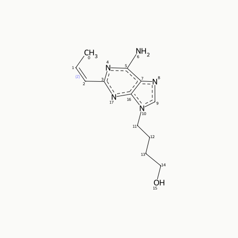 C/C=C\c1nc(N)c2ncn(CCCCO)c2n1